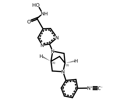 [C-]#[N+]c1cccc(N2C[C@@H]3C[C@H]2CN3c2ncc(C(=O)NO)cn2)c1